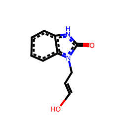 O=c1[nH]c2ccccc2n1CC=CO